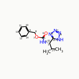 CC(C)[C@H](NC(=O)OCc1ccccc1)c1nnn[nH]1